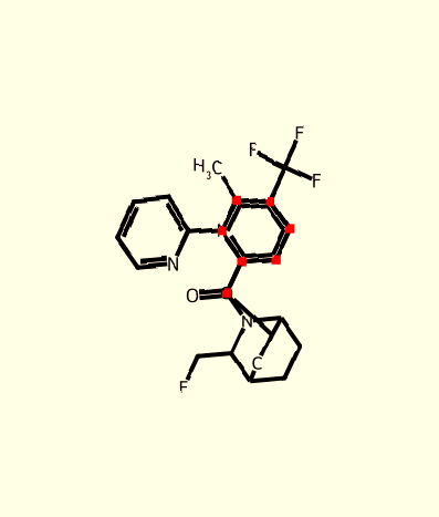 Cc1cccc(C(=O)N2C(CF)C3CCC2C(Oc2ccc(C(F)(F)F)cn2)C3)c1-c1ccccn1